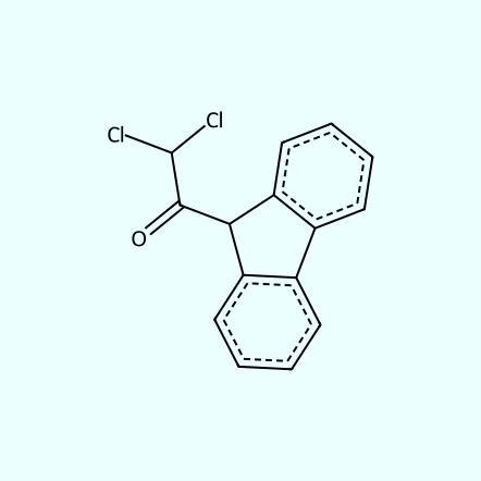 O=C(C(Cl)Cl)C1c2ccccc2-c2ccccc21